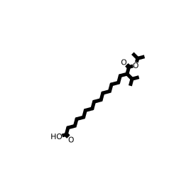 CC(C)OC(=O)C(CCCCCCCCCCCCCC(=O)O)C(C)C